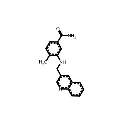 Cc1ccc(C(N)=O)cc1NCc1cnc2ccccc2c1